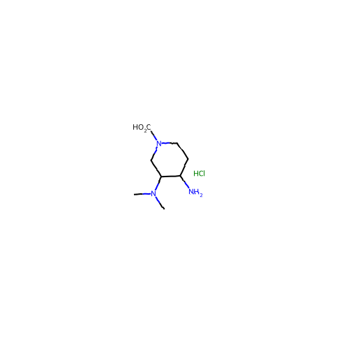 CN(C)C1CN(C(=O)O)CCC1N.Cl